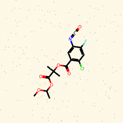 COC(C)OC(=O)C(C)(C)OC(=O)c1cc(N=C=O)c(F)cc1Cl